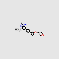 Cc1nc2c(C(=O)O)cc(-c3ccc(-c4cccc(OCCC5CCOCC5)c4)cc3)cc2[nH]1